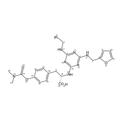 CC(C)CNc1nc(NCc2ccco2)nc(N[C@@H](Cc2ccc(OC(=O)N(C)C)cc2)C(=O)O)n1